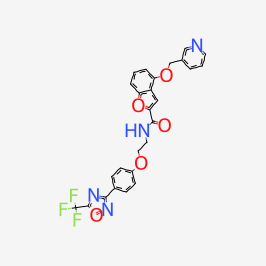 O=C(NCCOc1ccc(-c2noc(C(F)(F)F)n2)cc1)c1cc2c(OCc3cccnc3)cccc2o1